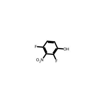 O=[N+]([O-])c1c(F)ccc(O)c1F